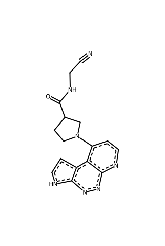 N#CCNC(=O)C1CCN(c2ccnc3nnc4[nH]ccc4c23)C1